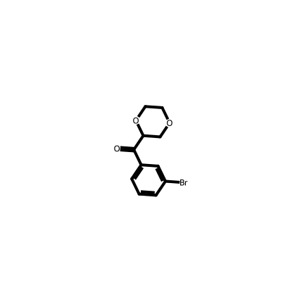 O=C(c1cccc(Br)c1)C1COCCO1